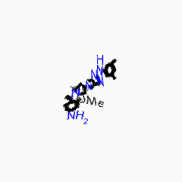 C=C(c1ccc(N)cc1OC)N1CC[C@@H](N2Cc3cnc(Nc4cc(C)cc(C)c4)nc3C2)C[C@H]1C